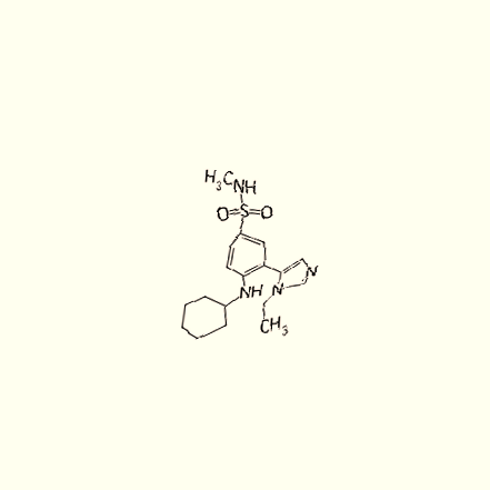 CCn1cncc1-c1cc(S(=O)(=O)NC)ccc1NC1CCCCC1